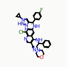 N#Cc1cnc2c(Cl)cc(N[C@H](C3=CN(C4CC4)NN3)c3ccc(F)cc3)cc2c1NC(CN1CCOCC1)c1ccccc1